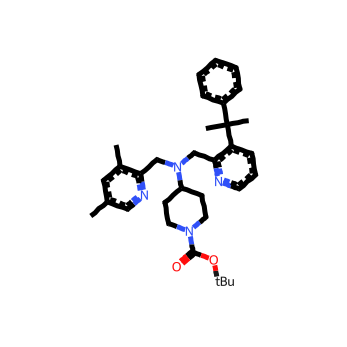 Cc1cnc(CN(Cc2ncccc2C(C)(C)c2ccccc2)C2CCN(C(=O)OC(C)(C)C)CC2)c(C)c1